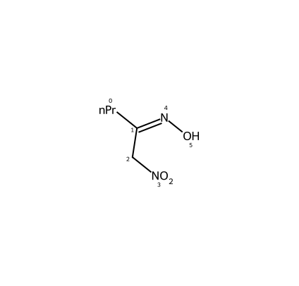 CCCC(C[N+](=O)[O-])=NO